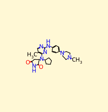 Cc1cnc(Nc2ccc(N3CCN(C)CC3)cc2)nc1N(C1CCCC1)C1CC(=O)NC1=O